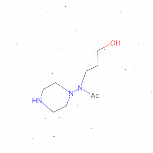 CC(=O)N(CCCO)N1CCNCC1